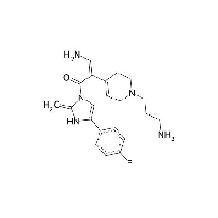 C=C1NC(c2ccc(F)cc2)=CN1C(=O)/C(=C\N)C1=CCN(CCCN)CC1